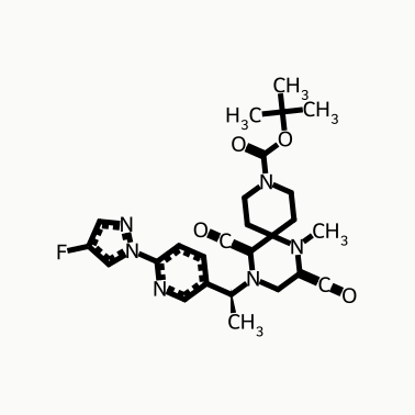 C[C@@H](c1ccc(-n2cc(F)cn2)nc1)N1CC(=C=O)N(C)C2(CCN(C(=O)OC(C)(C)C)CC2)C1=C=O